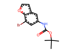 CC(C)(C)OC(=O)Nc1cc(Br)c2occc2c1